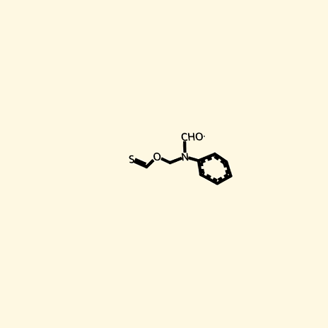 O=[C]N(COC=S)c1ccccc1